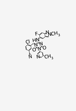 Cc1cncc(-n2c(=O)nc(Nc3cc4cn(C)nc4cc3F)n(Cc3cc(C#N)ccc3Cl)c2=O)c1